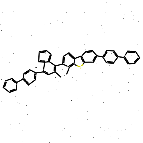 Cc1cc(-c2ccc(-c3ccccc3)cc2)c2ccccc2c1-c1ccc2c(sc3cc(-c4ccc(-c5ccccc5)cc4)ccc32)c1C